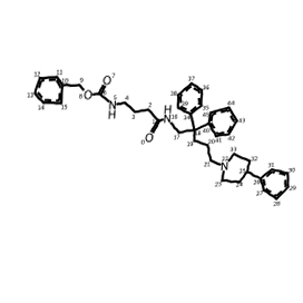 O=C(CCCNC(=O)OCc1ccccc1)NCC(CCCN1CCC(c2ccccc2)CC1)(c1ccccc1)c1ccccc1